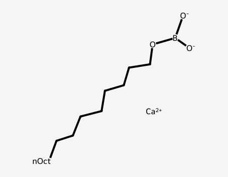 CCCCCCCCCCCCCCCCOB([O-])[O-].[Ca+2]